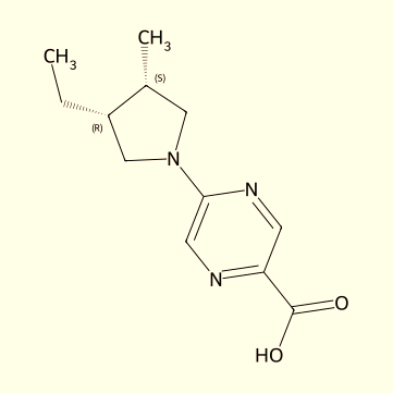 CC[C@H]1CN(c2cnc(C(=O)O)cn2)C[C@H]1C